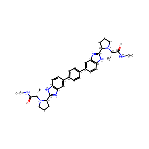 CC(C)[C@@H](C(=O)NC=O)N1CCCC1c1nc2cc(-c3ccc(-c4ccc5[nH]c(C6CCCN6[C@H](C(=O)NC=O)C(C)C)nc5c4)cc3)ccc2[nH]1